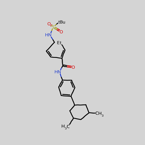 CC/C=C(\C=C/CNS(=O)(=O)C(C)(C)C)C(=O)Nc1ccc(C2CC(C)CC(C)C2)cc1